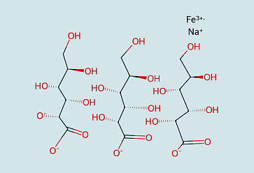 O=C([O-])[C@H](O)[C@@H](O)[C@H](O)[C@H](O)CO.O=C([O-])[C@H](O)[C@@H](O)[C@H](O)[C@H](O)CO.O=C([O-])[C@H]([O-])[C@@H](O)[C@H](O)[C@H](O)CO.[Fe+3].[Na+]